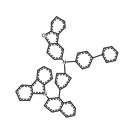 c1ccc(-c2ccc(N(c3ccc(-c4c(-n5c6ccccc6c6ccccc65)ccc5ccccc45)cc3)c3ccc4oc5ccccc5c4c3)cc2)cc1